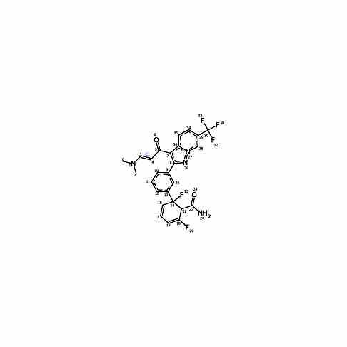 CN(C)/C=C/C(=O)c1c(-c2cccc(C3(F)C=CC=C(F)C3C(N)=O)c2)nn2cc(C(F)(F)F)ccc12